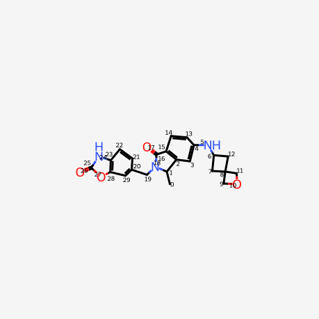 CC1c2cc(NC3CC4(COC4)C3)ccc2C(=O)N1Cc1ccc2[nH]c(=O)oc2c1